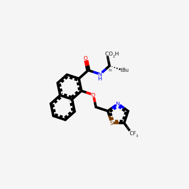 CC(C)(C)[C@H](NC(=O)c1ccc2ccccc2c1OCc1ncc(C(F)(F)F)s1)C(=O)O